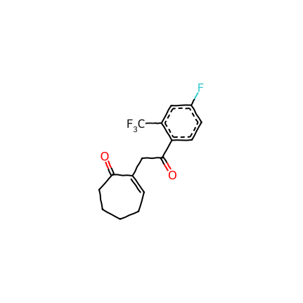 O=C1CCCCC=C1CC(=O)c1ccc(F)cc1C(F)(F)F